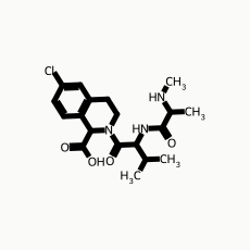 CNC(C)C(=O)NC(C(=O)N1CCc2cc(Cl)ccc2C1C(=O)O)C(C)C